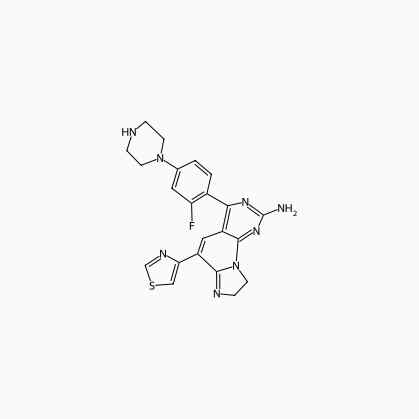 Nc1nc(-c2ccc(N3CCNCC3)cc2F)c2c(n1)N1CCN=C1C(c1cscn1)=C2